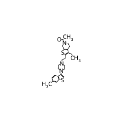 CCc1c(CCN2CCN(c3csc4cc(C)ccc34)CC2)sc2c1CCN(C(C)=O)C2